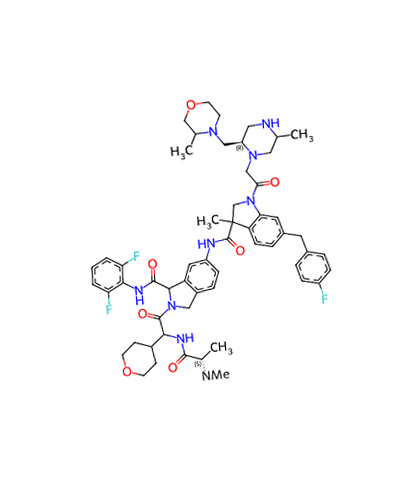 CN[C@@H](C)C(=O)NC(C(=O)N1Cc2ccc(NC(=O)C3(C)CN(C(=O)CN4CC(C)NC[C@@H]4CN4CCOCC4C)c4cc(Cc5ccc(F)cc5)ccc43)cc2C1C(=O)Nc1c(F)cccc1F)C1CCOCC1